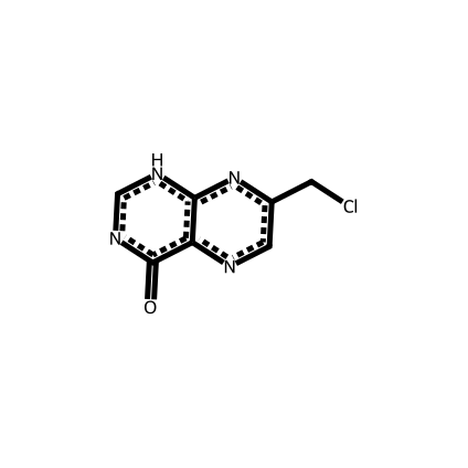 O=c1nc[nH]c2nc(CCl)cnc12